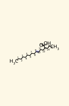 CCCCCCCCC/C=C/CCC(CCC)C(=O)O